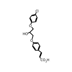 O=C(O)C=Cc1ccc(OCC(O)COc2ccc(Cl)cc2)cc1